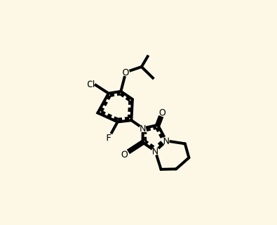 CC(C)Oc1cc(-n2c(=O)n3n(c2=O)CCCC3)c(F)cc1Cl